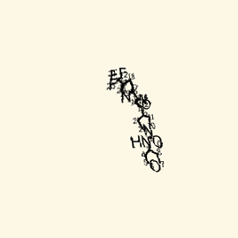 O=C(NC1CCOCC1)N1CCC(c2cc(-c3ccc(C(F)(F)F)cn3)no2)CC1